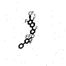 Fc1cc(OC(F)(F)c2c(F)cc(C3CCCCC3)cc2F)ccc1-c1ccc2c(F)c(C#CC(F)(F)F)c(F)cc2c1